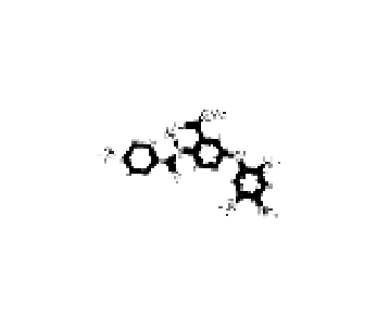 COC(=O)c1cc(Oc2cc(N)c(N)cc2C(F)(F)F)ccc1N(C(=O)[C@H]1CC[C@H](C)CC1)C(C)C